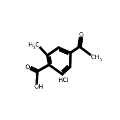 CC(=O)c1ccc(C(=O)O)c(C)c1.Cl